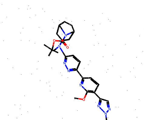 COc1nc(-c2ccc(N(C)C3CC4CCC(C3)N4C(=O)OC(C)(C)C)nn2)ccc1-c1cnn(C)n1